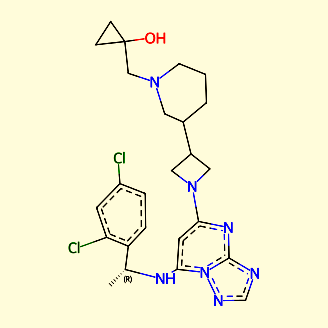 C[C@@H](Nc1cc(N2CC(C3CCCN(CC4(O)CC4)C3)C2)nc2ncnn12)c1ccc(Cl)cc1Cl